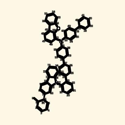 CC1C=CC=C[C@@H]1c1ccc2c3ccccc3n(-c3ccccc3-c3ccc(-c4ccc(N(c5ccc(-c6ccccc6)cc5)c5cccc6c5oc5ccccc56)cc4)cc3)c2c1